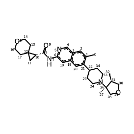 Cc1cc2cnc(NC(=O)[C@@H]3CC34CCOCC4)cc2cc1C1CCN([C@]2(C)COC[C@@H]2C)CC1